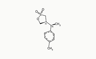 Cc1ccc([C@H](C)[C@H]2COS(=O)(=O)C2)cc1